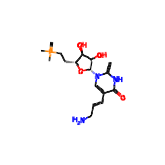 C=C1NC(=O)C(/C=C/CN)=CN1[C@@H]1O[C@H](CCP(=C)(C)C)[C@@H](O)C1O